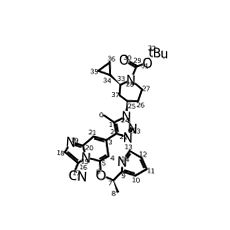 Cc1c(-c2cc(O[C@H](C)c3ccccn3)n3c(C#N)cnc3c2)nnn1[C@@H]1CCN(C(=O)OC(C)(C)C)[C@H](C2CC2)C1